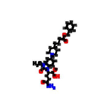 Cn1c(=O)n(C(CCC(N)=O)C(=O)O)c2ccc(N3CCC(CCCC(=O)OCc4ccccc4)CC3)cc21